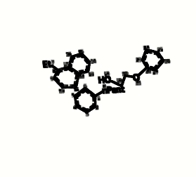 CCCCCc1ccccc1.CCc1cccc2ccccc12.OCCOc1ccccc1